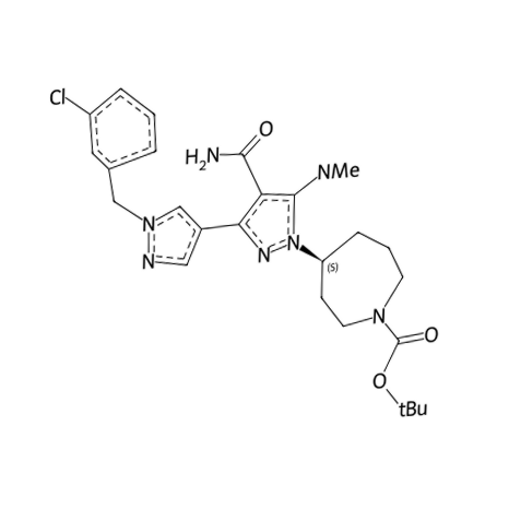 CNc1c(C(N)=O)c(-c2cnn(Cc3cccc(Cl)c3)c2)nn1[C@H]1CCCN(C(=O)OC(C)(C)C)CC1